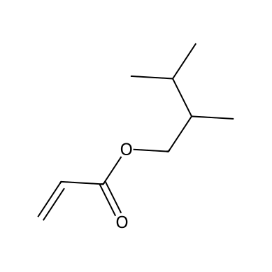 C=CC(=O)OCC(C)C(C)C